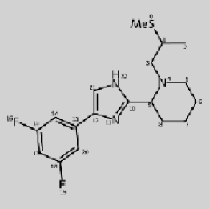 CSC(C)CN1CCCCC1c1nc(-c2cc(F)cc(F)c2)c[nH]1